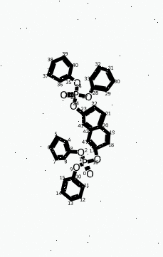 O=P(Oc1ccccc1)(Oc1ccccc1)Oc1ccc2ccc(OP(=O)(Oc3ccccc3)Oc3ccccc3)cc2c1